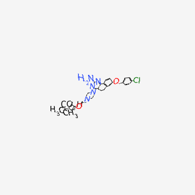 CC(C)(C(=O)O)[C@H]1C[C@H](OCCN2CCN(c3nc(N)nc4c3CCc3cc(OCc5ccc(Cl)cc5)ccc3-4)CC2)C1